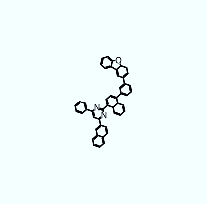 C1=CC2C(c3cccc(C4=CCC5Oc6ccccc6C5=C4)c3)=CC=C(c3nc(-c4ccccc4)cc(-c4ccc5ccccc5c4)n3)C2C=C1